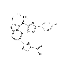 CCc1nc2ccc(C3=NC(C(=O)O)CO3)cn2c1N(C)c1nc(-c2ccc(F)cc2)cs1